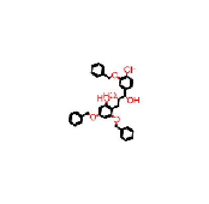 Oc1ccc([C@H](O)[C@@H](O)Cc2c(O)cc(OCc3ccccc3)cc2OCc2ccccc2)cc1OCc1ccccc1